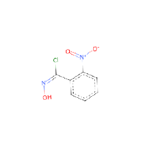 O=[N+]([O-])c1ccccc1/C(Cl)=N\O